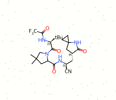 CC1(C)CC(C(=O)N[C@H](C#N)C[C@@H]2CC3(CC3)NC2=O)N(C(=O)[C@@H](NC(=O)C(F)(F)F)C(C)(C)C)C1